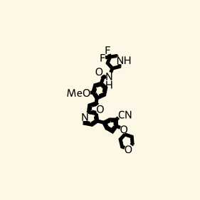 COc1cc(C(=O)NC2CNCC(F)(F)C2)ccc1-c1cc2nccc(-c3ccc(OC4CCOCC4)c(C#N)c3)c2o1